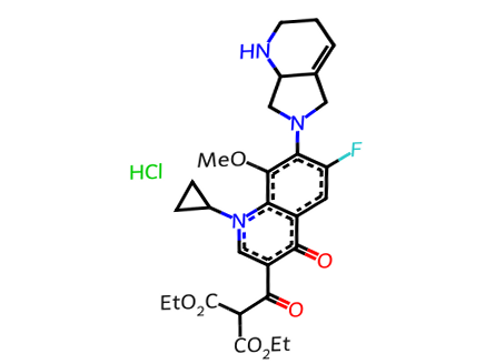 CCOC(=O)C(C(=O)OCC)C(=O)c1cn(C2CC2)c2c(OC)c(N3CC4=CCCNC4C3)c(F)cc2c1=O.Cl